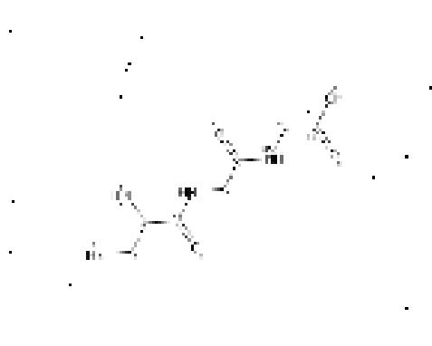 NC(CS)C(=O)NCC(=O)NCC(=O)O